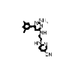 Cc1cc(C)cc(-c2cc(NCCNc3ccc(C#N)cn3)nc(N)n2)c1